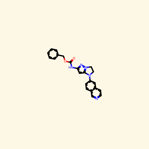 O=C(Nc1cc2n(n1)CCN2c1ccc2cnccc2c1)OCc1ccccc1